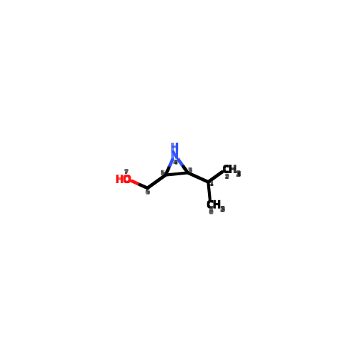 CC(C)C1NC1CO